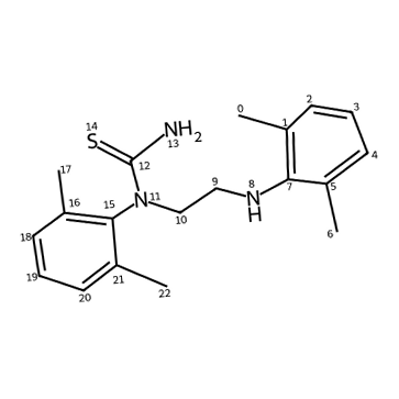 Cc1cccc(C)c1NCCN(C(N)=S)c1c(C)cccc1C